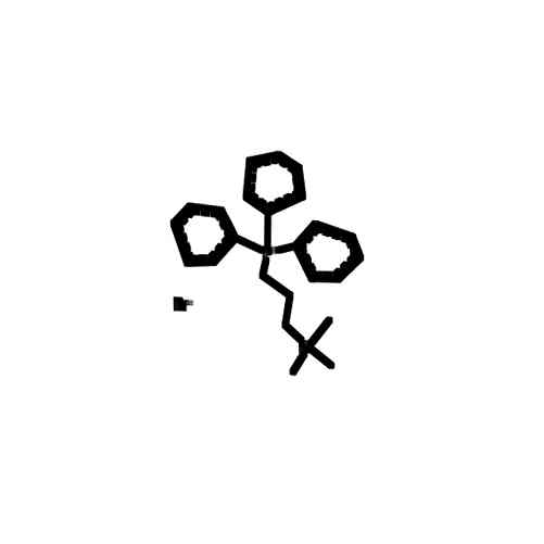 C[Si](C)(C)CCC[P+](c1ccccc1)(c1ccccc1)c1ccccc1.[Br-]